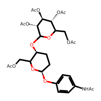 CC(=O)Nc1ccc(O[C@@H]2CC[C@H](OC3OC(COC(C)=O)[C@@H](OC(C)=O)[C@H](OC(C)=O)[C@H]3OC(C)=O)C(COC(C)=O)O2)cc1